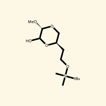 CO[C@@H]1OC[C@@H]([CH]CO[Si](C)(C)C(C)(C)C)OC1O